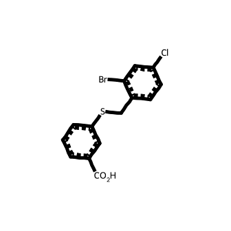 O=C(O)c1cccc(SCc2ccc(Cl)cc2Br)c1